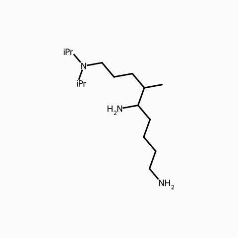 CC(CCCN(C(C)C)C(C)C)C(N)CCCCN